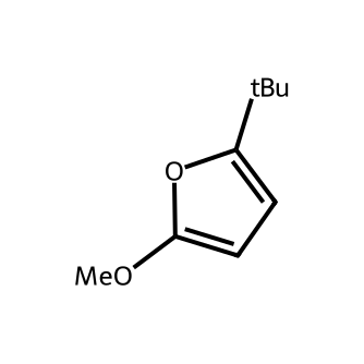 COc1ccc(C(C)(C)C)o1